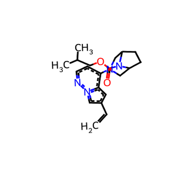 C=Cc1cc2c(N3CC4CCC(C3)N4C(=O)OCC(C)C)ccnn2c1